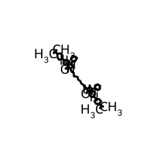 CC(C)C1CCC(N2CCC3(CC2)C(=O)N(CCCCCCCCCN2CN(c4ccccc4)C4(CCN(C5CCC(C(C)C)CC5)CC4)C2=O)CN3c2ccccc2)CC1